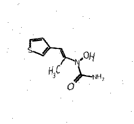 C/C(=C\c1ccsc1)N(O)C(N)=O